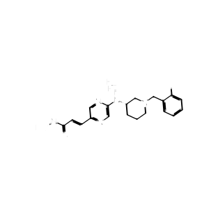 Cl.Cl.O=C(/C=C/c1cnc(N[C@@H]2CCCN(Cc3ccccc3Cl)C2)cn1)NO